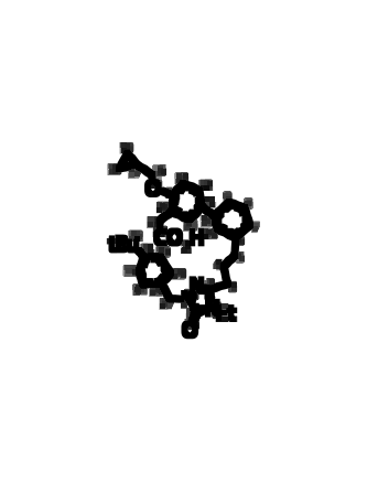 CCn1c(CCCc2cccc(-c3ccc(OCC4CC4)c(CC(=O)O)c3)c2)nn(Cc2ccc(C(C)(C)C)cc2)c1=O